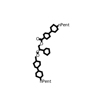 CCCCCC1CCC(C2CCC(COOC(COC(=O)C3CCC(C4CCC(CCCCC)CC4)CC3)C3CCCCC3)CC2)CC1